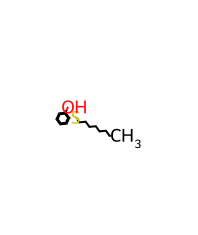 CCCCCCCCSc1ccccc1O